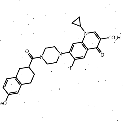 COc1ccc2c(c1)CCC(C(=O)N1CCN(c3cc4c(cc3F)c(=O)c(C(=O)O)cn4C3CC3)CC1)C2